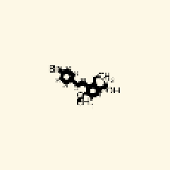 CCc1c(C(=O)O)ccc(OC)c1C=Cc1ccc(Br)cc1